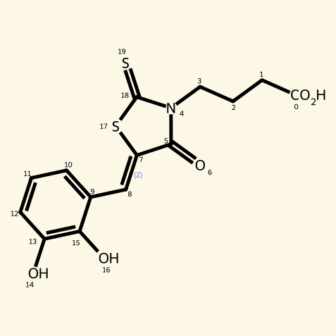 O=C(O)CCCN1C(=O)/C(=C/c2cccc(O)c2O)SC1=S